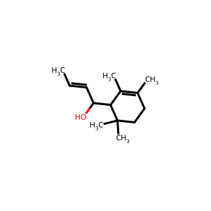 CC=CC(O)C1C(C)=C(C)CCC1(C)C